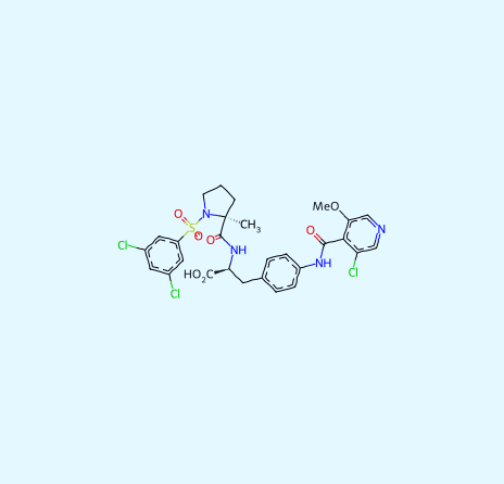 COc1cncc(Cl)c1C(=O)Nc1ccc(C[C@H](NC(=O)[C@]2(C)CCCN2S(=O)(=O)c2cc(Cl)cc(Cl)c2)C(=O)O)cc1